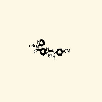 CCCCN(C(=O)c1ccc2c(c1)nc(CNc1ccc(C#N)cc1)n2C)c1ccccn1